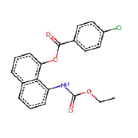 CCOC(=O)Nc1cccc2cccc(OC(=O)c3ccc(Cl)cc3)c12